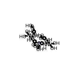 O=S(=O)(O)c1ccc(Nc2nc(Nc3ccc(/C=C/c4ccc(Nc5nc(Nc6ccc(SOOO)cc6)nc(N(CCO)CCO)n5)cc4S(=O)(=O)O)c(SOOO)c3)nc(N(CCO)CCO)n2)cc1